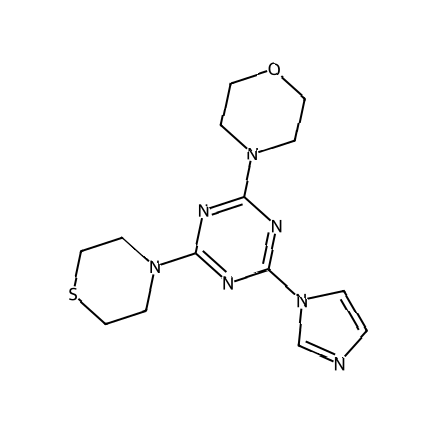 c1cn(-c2nc(N3CCOCC3)nc(N3CCSCC3)n2)cn1